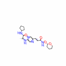 C[C@@H](Nc1cnc(/C=C/C(=O)NOC2CCCCO2)cn1)C(=O)NC1CCCC1